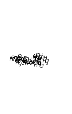 Cc1sc2c(c1C)[C@H](c1ccc(Cl)cc1)NC(CC(=O)N1CCC(CN3CC(C)N(c4cc5c(cc4F)C(=O)N(C4CCC(=O)NC4=O)C5=O)C(C)C3)CC1)c1nnc(C)n1-2